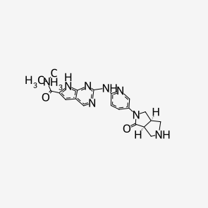 CN(C)C(=O)c1cc2cnc(Nc3ccc(N4C[C@H]5CNC[C@H]5C4=O)cn3)nc2[nH]1